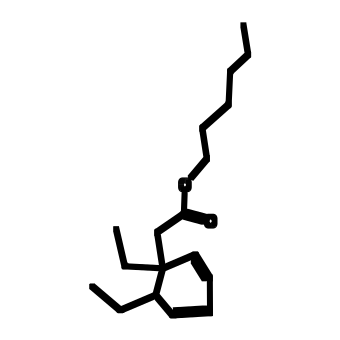 CCCCCCOC(=O)CC1(CC)C=CC=CC1CC